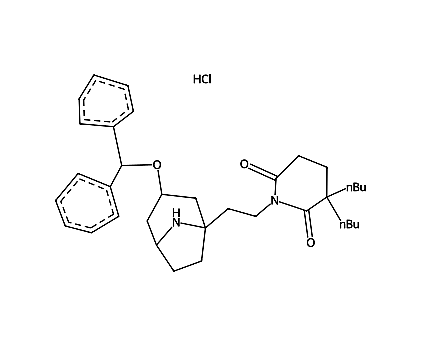 CCCCC1(CCCC)CCC(=O)N(CCC23CCC(CC(OC(c4ccccc4)c4ccccc4)C2)N3)C1=O.Cl